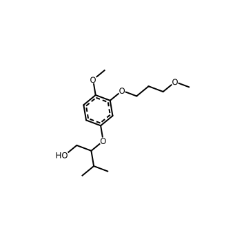 COCCCOc1cc(OC(CO)C(C)C)ccc1OC